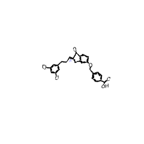 O=C(O)c1ccc(COc2ccc3c(c2)C/C(=C\CCc2cc(Cl)cc(Cl)c2)C3=O)cc1